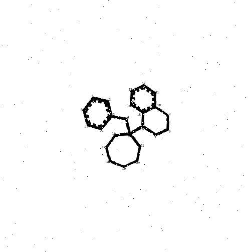 c1ccc(CC2(C3CCCc4ccccc43)CCCCCC2)cc1